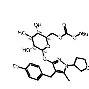 CCCCOC(=O)OC[C@H]1O[C@@H](Oc2nn(C3CCOC3)c(C)c2Cc2ccc(CC)cc2)[C@H](O)[C@@H](O)[C@@H]1O